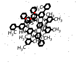 Cc1cc(C)c(N2c3cc4c(cc3B3c5cc6c(cc5N(c5c(C)cc(C)cc5C)c5cc(-c7ccccc7C)cc2c53)N(c2c(C)cc(C)cc2C)c2cc(-c3ccccc3C)cc3c2B6c2sc5ccccc5c2N3c2ccccc2)B2c3sc5ccccc5c3N(c3ccccc3)c3cc(-c5ccccc5C)cc(c32)N4)c(C)c1